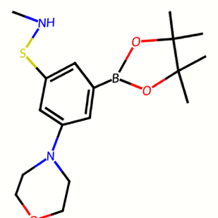 CNSc1cc(B2OC(C)(C)C(C)(C)O2)cc(N2CCOCC2)c1